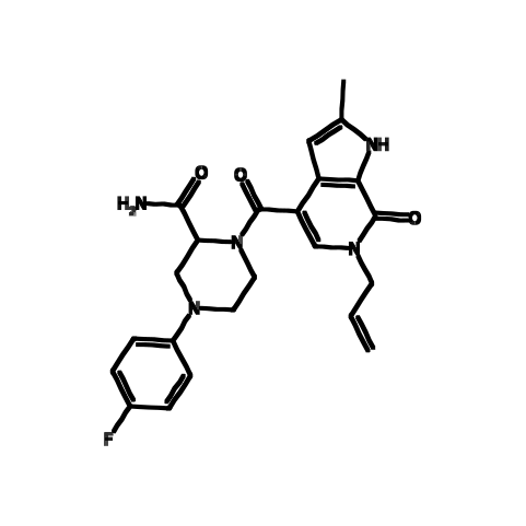 C=CCn1cc(C(=O)N2CCN(c3ccc(F)cc3)CC2C(N)=O)c2cc(C)[nH]c2c1=O